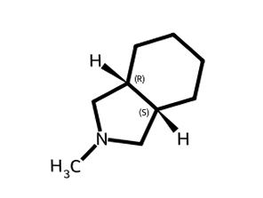 CN1C[C@H]2CCCC[C@H]2C1